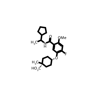 COc1cc(F)c(O[C@H]2CC[C@@](C)(C(=O)O)CC2)cc1C(=O)NC(C)C1CCCC1